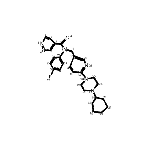 O=C(c1ccnnc1)N(Cc1ccc(N2CCN(C3CCCCC3)CC2)nc1)c1ccc(F)cc1